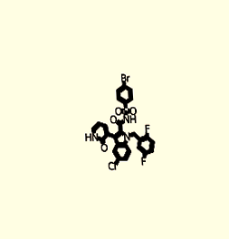 O=C(NS(=O)(=O)c1ccc(Br)cc1)c1c(-c2ccc[nH]c2=O)c2cc(Cl)ccc2n1Cc1cc(F)ccc1F